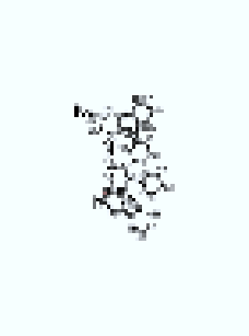 N#Cc1cc(C#N)c(-c2cccc(-n3c4ccccc4c4cc(C#N)ccc43)c2)c(-c2ccccc2-n2c3c(c4ccccc42)C=CCC3)c1